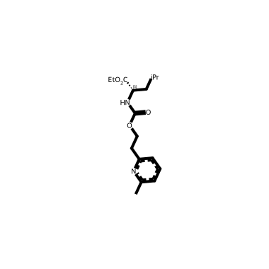 CCOC(=O)[C@H](CC(C)C)NC(=O)OCCc1cccc(C)n1